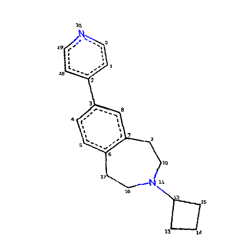 c1cc(-c2ccc3c(c2)CCN(C2CCC2)CC3)ccn1